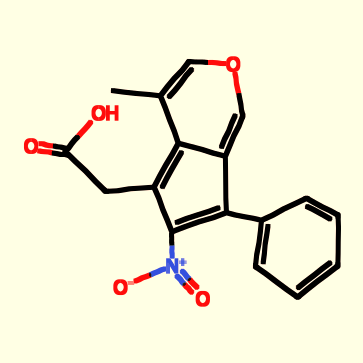 Cc1cocc2c(-c3ccccc3)c([N+](=O)[O-])c(CC(=O)O)c1-2